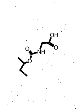 CCC(C)OC(=O)NCC(=O)O